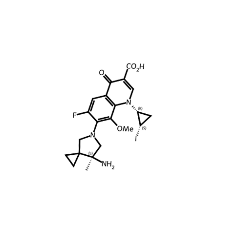 COc1c(N2CC3(CC3)[C@](C)(N)C2)c(F)cc2c(=O)c(C(=O)O)cn([C@@H]3C[C@@H]3I)c12